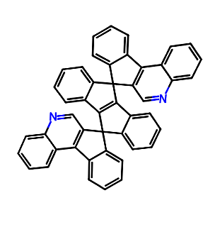 c1ccc2c(c1)C1=C(c3ccccc3C13c1ccccc1-c1c3cnc3ccccc13)C21c2ccccc2-c2c1cnc1ccccc21